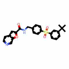 CC(C)(C)c1cccc(S(=O)(=O)c2ccc(CNC(=O)c3cc4ccncc4o3)cc2)c1